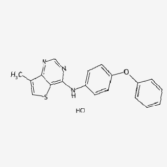 Cc1csc2c(Nc3ccc(Oc4ccccc4)cc3)ncnc12.Cl